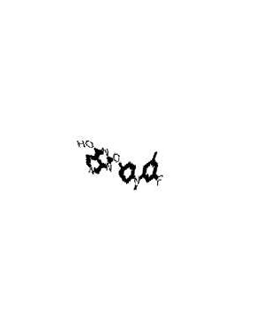 Cc1cc(F)cc(N(C)c2ccc(Oc3nc(O)c4ccncc4n3)cc2)c1